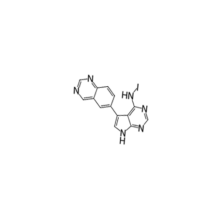 INc1ncnc2[nH]cc(-c3ccc4ncncc4c3)c12